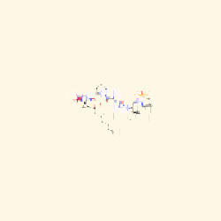 CCCCCCCC1C[C@]1(NC(=O)[C@@H]1CCCN1C(=O)CNC(=O)NC(CN1CCCS1(=O)=O)C(C)(C)C)C(=O)O